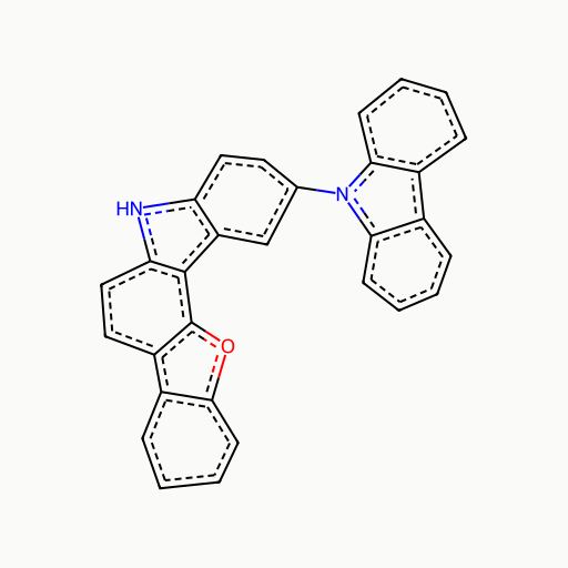 c1ccc2c(c1)oc1c2ccc2[nH]c3ccc(-n4c5ccccc5c5ccccc54)cc3c21